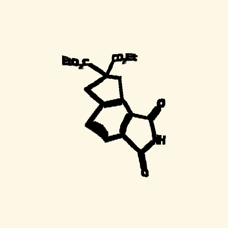 CCOC(=O)C1(C(=O)OCC)Cc2ccc3c(c2C1)C(=O)NC3=O